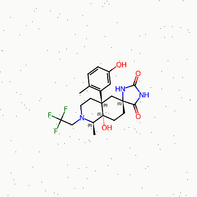 Cc1ccc(O)cc1[C@]12CCN(CC(F)(F)F)[C@H](C)[C@]1(O)CC[C@@]1(C2)NC(=O)NC1=O